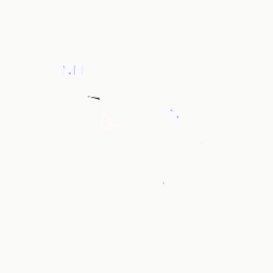 Cc1cc(OC[C@H]2CCCN2)cnc1C